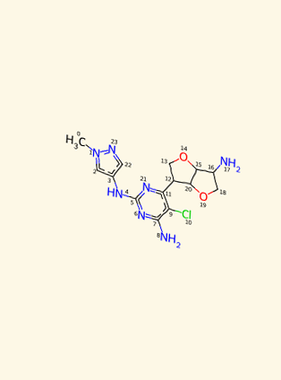 Cn1cc(Nc2nc(N)c(Cl)c(C3COC4C(N)COC34)n2)cn1